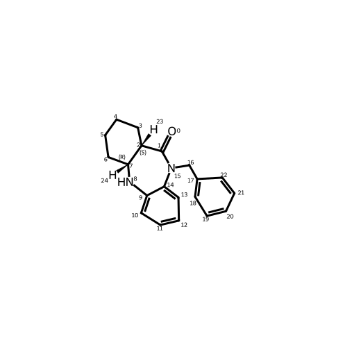 O=C1[C@H]2CCCC[C@H]2Nc2ccccc2N1Cc1ccccc1